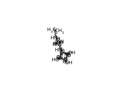 CC(C)CCCCNC(=O)C[C@H]1NC(=O)[C@@H](CCCNC(=O)CN2CCN(CC(=O)O)CCN(CC(=O)O)CCN(CC(=O)O)CC2)NC1=O